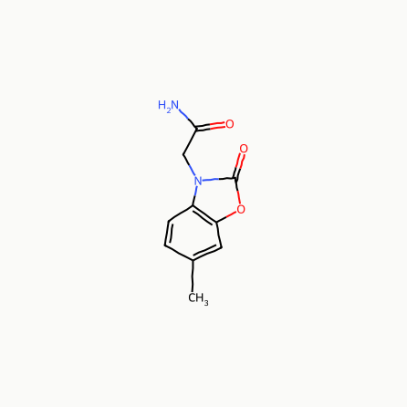 Cc1ccc2c(c1)oc(=O)n2CC(N)=O